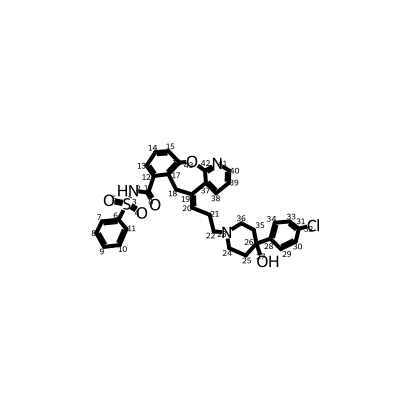 O=C(NS(=O)(=O)c1ccccc1)c1cccc2c1C/C(=C/CCN1CCC(O)(c3ccc(Cl)cc3)CC1)c1cccnc1O2